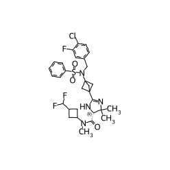 CN(C(=O)[C@@H]1NC(C23CC(N(Cc4ccc(Cl)c(F)c4)S(=O)(=O)c4ccccc4)(C2)C3)=NC1(C)C)C1CC(C(F)F)C1